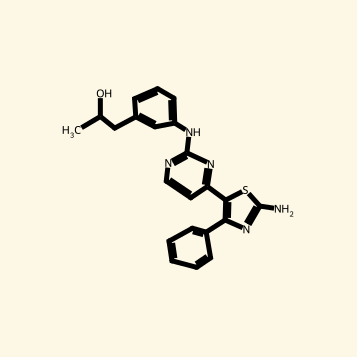 CC(O)Cc1cccc(Nc2nccc(-c3sc(N)nc3-c3ccccc3)n2)c1